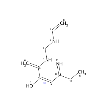 C=CNCNC(=C)/C(O)=C\C(=N)CC